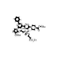 CCCCOC(=O)N1CCN(C(=O)[C@H](CP(=O)(OCCC(=O)OCC)OCCC(=O)OCC)NC(=O)c2cc(N3CC[C@H](OC)C3)nc(-c3ccccc3)n2)CC1